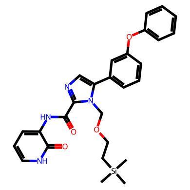 C[Si](C)(C)CCOCn1c(-c2cccc(Oc3ccccc3)c2)cnc1C(=O)Nc1ccc[nH]c1=O